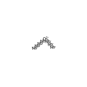 [Nb+2].[Nb].[Nb].[Nb].[Nb].[Nb].[Nb].[O-2]